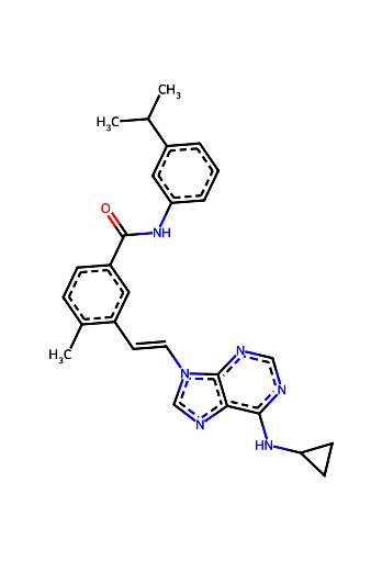 Cc1ccc(C(=O)Nc2cccc(C(C)C)c2)cc1C=Cn1cnc2c(NC3CC3)ncnc21